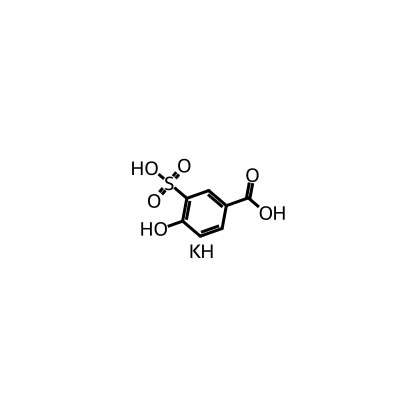 O=C(O)c1ccc(O)c(S(=O)(=O)O)c1.[KH]